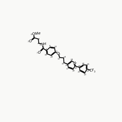 COC(=O)CCNC(=O)c1ccc(OCCCc2ccc(-c3ccc(C(F)(F)F)cc3)nc2)cc1